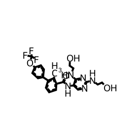 Cc1c(C(=O)Nc2cnc(NCCO)nc2NCCO)cccc1-c1ccc(OC(F)(F)F)cc1